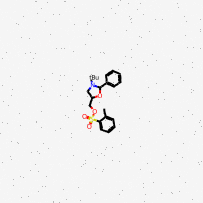 Cc1ccccc1S(=O)(=O)OCC1CN(C(C)(C)C)C(c2ccccc2)O1